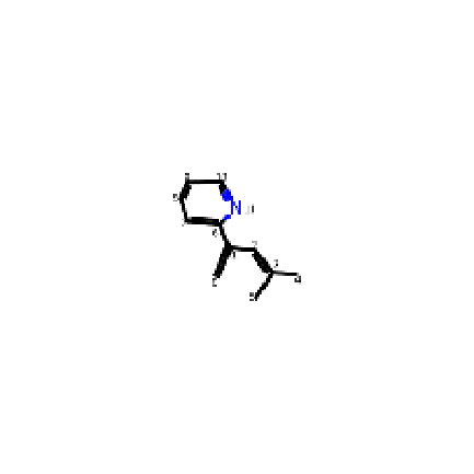 C=C(C=C(C)C)c1ccccn1